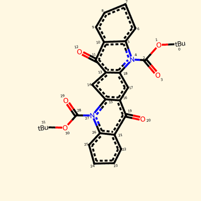 CC(C)(C)OC(=O)n1c2ccccc2c(=O)c2cc3c(cc21)c(=O)c1ccccc1n3C(=O)OC(C)(C)C